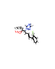 CC(C)(C)C(O)C(C/C=C/c1ccccc1F)n1cncn1